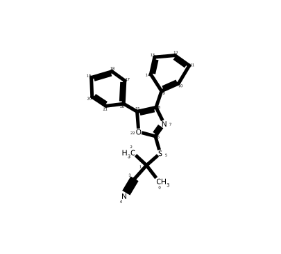 CC(C)(C#N)Sc1nc(-c2ccccc2)c(-c2ccccc2)o1